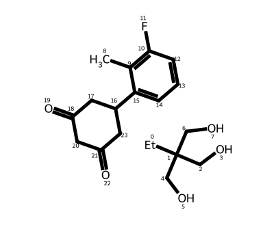 CCC(CO)(CO)CO.Cc1c(F)cccc1C1CC(=O)CC(=O)C1